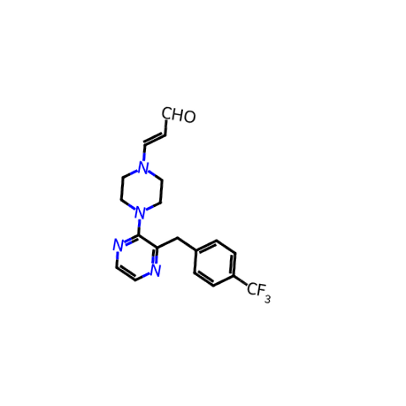 O=CC=CN1CCN(c2nccnc2Cc2ccc(C(F)(F)F)cc2)CC1